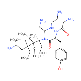 NCCNC(CN)N(C(=O)[C@H](Cc1ccc(O)cc1)NC(=O)CN)[C@](CC(=O)O)(C(=O)O)C(CC(=O)O)(CC(=O)O)C(CCN)(CC(=O)O)CC(=O)O